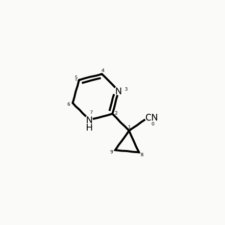 N#CC1(C2=NC=[C]CN2)CC1